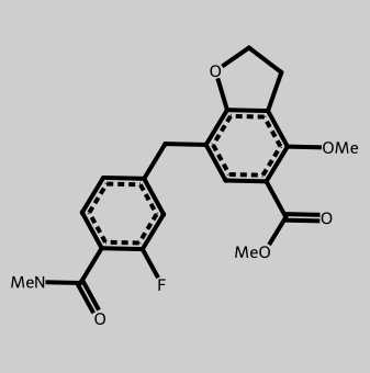 CNC(=O)c1ccc(Cc2cc(C(=O)OC)c(OC)c3c2OCC3)cc1F